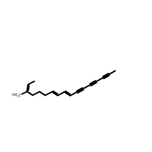 CC#CC#CC#CC=CC=CCCCC(=CC)C(=O)O